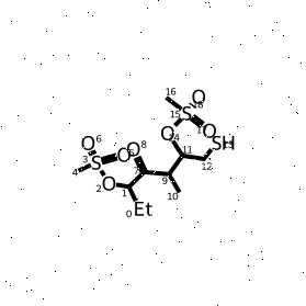 CCC(OS(C)(=O)=O)C(=O)C(C)C([CH]S)OS(C)(=O)=O